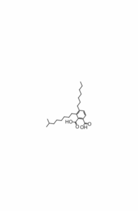 CCCCCCCc1ccc(C(=O)O)c(C(=O)O)c1CCCCCCC(C)C